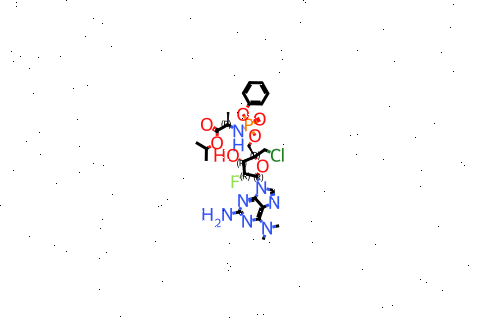 CC(C)OC(=O)[C@@H](C)NP(=O)(OC[C@@]1(CCl)O[C@@H](n2cnc3c(N(C)C)nc(N)nc32)[C@H](F)[C@@H]1O)Oc1ccccc1